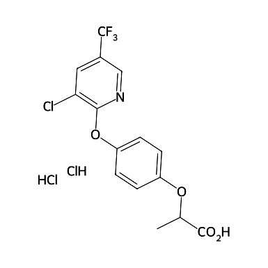 CC(Oc1ccc(Oc2ncc(C(F)(F)F)cc2Cl)cc1)C(=O)O.Cl.Cl